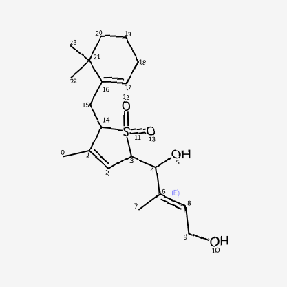 CC1=CC(C(O)/C(C)=C/CO)S(=O)(=O)C1CC1=CCCCC1(C)C